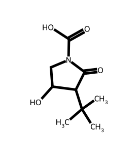 CC(C)(C)C1C(=O)N(C(=O)O)CC1O